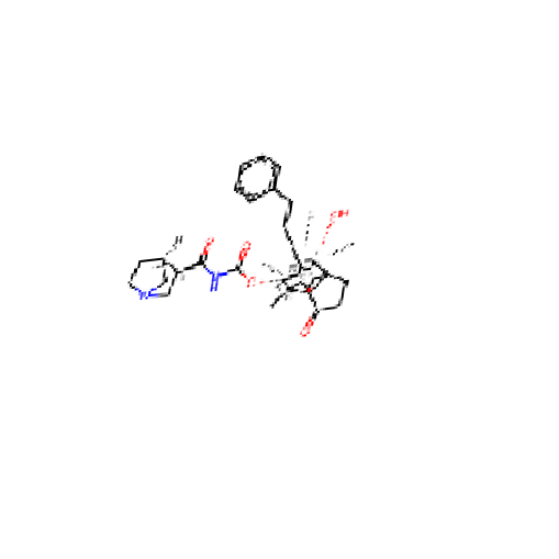 C[C@@H]1CCC23CCC(=O)C2[C@]1(C)[C@H](OC(=O)NC(=O)[C@H]1CN2CC[C@@H]1C2)C[C@@](C)(C=Cc1ccccc1)[C@@H](O)[C@@H]3C